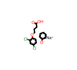 O=C(O)CCCOc1ccc(Cl)cc1Cl.[Na+].[O-]c1ccccc1